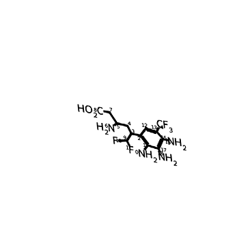 Nc1c(C(CC(N)CC(=O)O)C(F)F)cc(C(F)(F)F)c(N)c1N